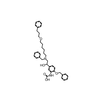 O=C(O)Nc1cc(C(O)CN(CCCCCCOCCCc2ccccc2)Cc2ccccc2)ccc1OCc1ccccc1